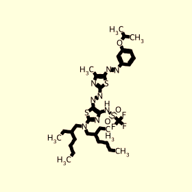 CCCCC(CC)CN(CC(CC)CCCC)c1nc(NS(=O)(=O)C(F)(F)F)c(N=Nc2nc(C)c(N=Nc3cccc(OC(C)C)c3)s2)s1